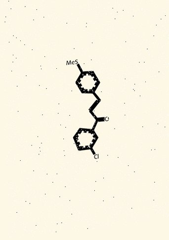 CSc1ccc(C=CC(=O)c2cccc(Cl)c2)cc1